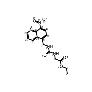 CCOC(=O)CNC(=O)NCc1ccc([N+](=O)[O-])c2ncccc12